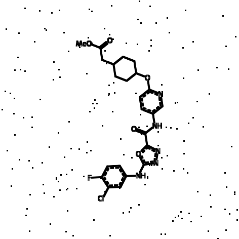 COC(=O)CC1CCC(Oc2ccc(NC(=O)c3nnc(Nc4ccc(F)c(Cl)c4)o3)cn2)CC1